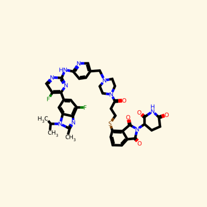 Cc1nc2c(F)cc(-c3nc(Nc4ccc(CN5CCN(C(=O)CCSc6cccc7c6C(=O)N(C6CCC(=O)NC6=O)C7=O)CC5)cn4)ncc3F)cc2n1C(C)C